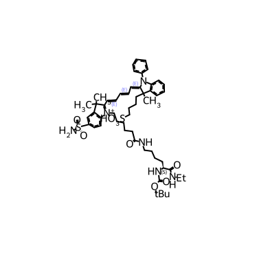 CCNC(=O)[C@H](CCCCNC(=O)CCCCC[N+]1=C(/C=C/C=C/C=C2/N(c3ccccc3)c3ccccc3C2(C)CCCCS(=O)(=O)O)C(C)(C)c2cc(S(N)(=O)=O)ccc21)NC(=O)OC(C)(C)C